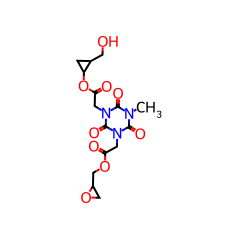 Cn1c(=O)n(CC(=O)OCC2CO2)c(=O)n(CC(=O)OC2CC2CO)c1=O